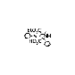 CCOC(=O)C1=C(C)NC(c2ccccc2)=C(C(=O)O)C1C#Cc1ccccc1